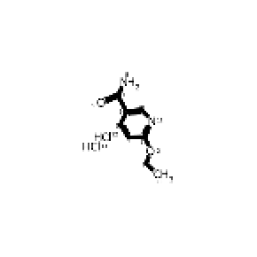 CCOc1ccc(C(N)=O)cn1.Cl.Cl